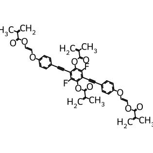 C=C(C)C(=O)O/C=C/Oc1ccc(C#Cc2c(F)c(OC(=O)C(=C)C)c(C#Cc3ccc(O/C=C/OC(=O)C(=C)C)cc3)c(F)c2OC(=O)C(=C)C)cc1